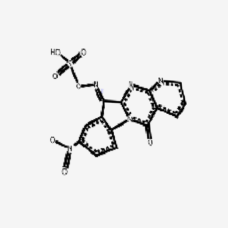 O=c1c2cccnc2nc2n1-c1ccc([N+](=O)[O-])cc1/C2=N\OS(=O)(=O)O